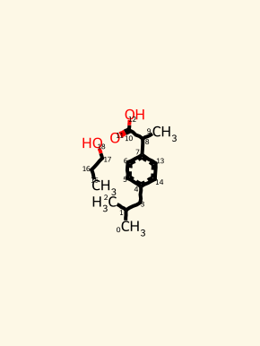 CC(C)Cc1ccc(C(C)C(=O)O)cc1.CCCO